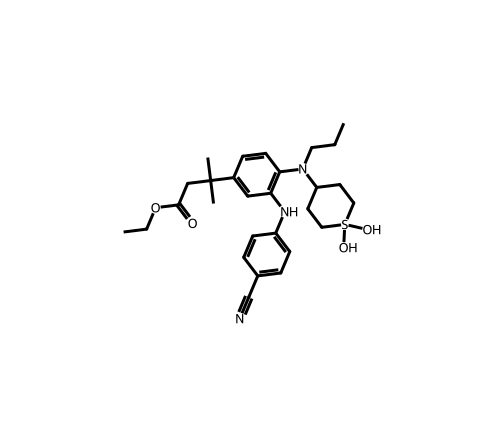 CCCN(c1ccc(C(C)(C)CC(=O)OCC)cc1Nc1ccc(C#N)cc1)C1CCS(O)(O)CC1